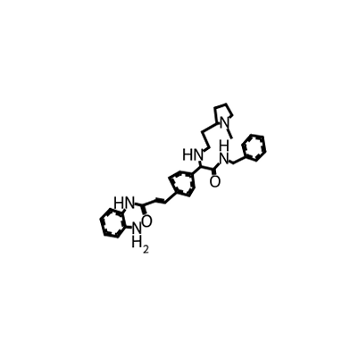 CN1CCCC1CCNC(C(=O)NCc1ccccc1)c1ccc(/C=C/C(=O)Nc2ccccc2N)cc1